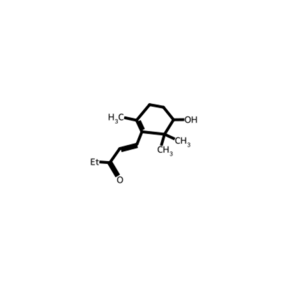 CCC(=O)C=CC1=C(C)CCC(O)C1(C)C